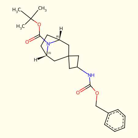 CC(C)(C)OC(=O)N1[C@@H]2CC[C@H]1CC1(CC(NC(=O)OCc3ccccc3)C1)C2